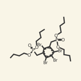 CCCCOP(=O)(Cc1c(Br)c(Br)c(Br)c(CP(=O)(OCCCC)OCCCC)c1Br)OCCCC